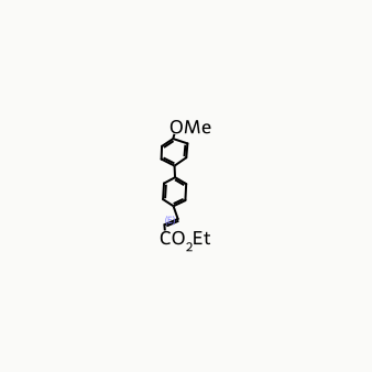 CCOC(=O)/C=C/c1ccc(-c2ccc(OC)cc2)cc1